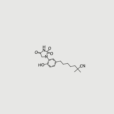 CC(C)(C#N)CCCCCc1ccc(O)c(N2CC(=O)NS2(=O)=O)c1